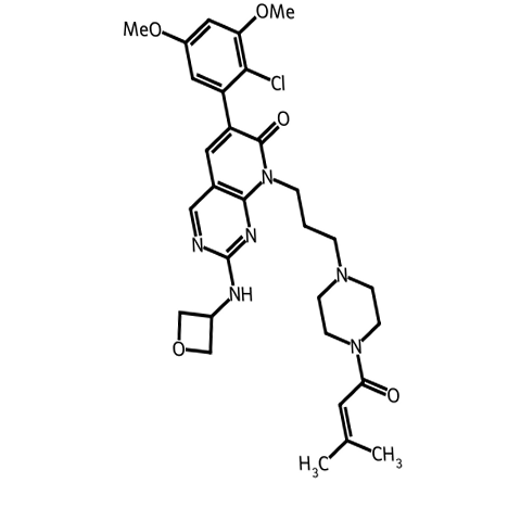 COc1cc(OC)c(Cl)c(-c2cc3cnc(NC4COC4)nc3n(CCCN3CCN(C(=O)C=C(C)C)CC3)c2=O)c1